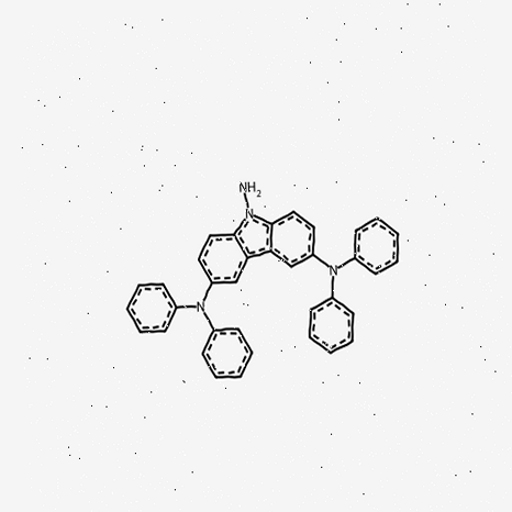 Nn1c2ccc(N(c3ccccc3)c3ccccc3)cc2c2cc(N(c3ccccc3)c3ccccc3)ccc21